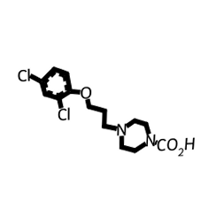 O=C(O)N1CCN(CCCOc2ccc(Cl)cc2Cl)CC1